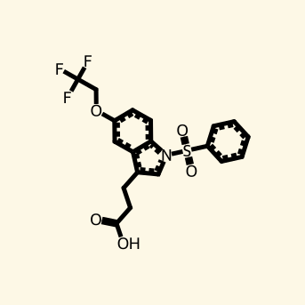 O=C(O)CCc1cn(S(=O)(=O)c2ccccc2)c2ccc(OCC(F)(F)F)cc12